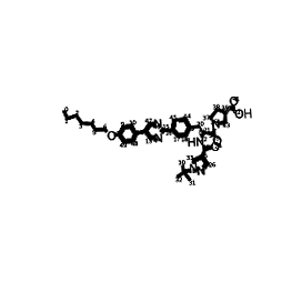 CCCCCCCOc1ccc(-c2cnc(-c3ccc(C[C@H](NC(=O)c4cnn(C(C)(C)C)c4)C(=O)N4CC[C@H](C(=O)O)C4)cc3)nc2)cc1